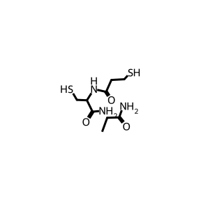 CCC(N)=O.NC(=O)C(CS)NC(=O)CCS